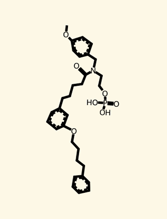 COc1ccc(CN(CCOP(=O)(O)O)C(=O)CCCCc2cccc(OCCCCc3ccccc3)c2)cc1